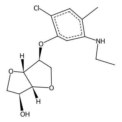 CCNc1cc(O[C@H]2CO[C@H]3[C@@H]2OC[C@@H]3O)c(Cl)cc1C